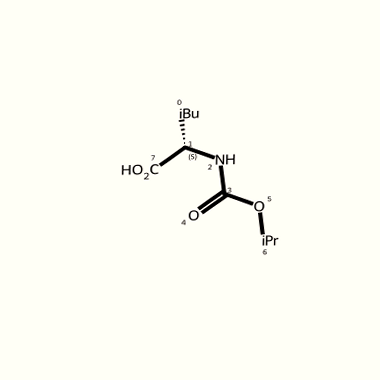 CCC(C)[C@H](NC(=O)OC(C)C)C(=O)O